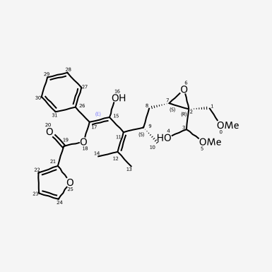 COC[C@@]1(C(O)OC)O[C@H]1C[C@H](C)C(=C(C)C)/C(O)=C(\OC(=O)c1ccco1)c1ccccc1